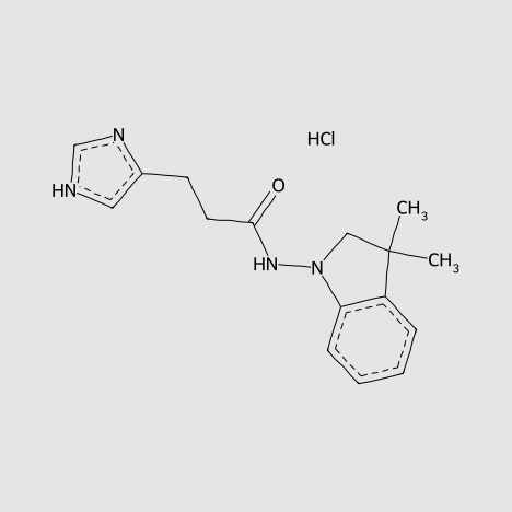 CC1(C)CN(NC(=O)CCc2c[nH]cn2)c2ccccc21.Cl